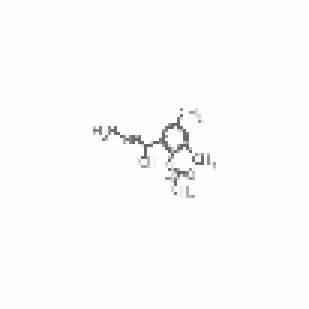 Cc1cc(C)c(NC(N)=O)c(C(C)CNN)c1